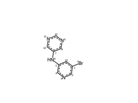 Brc1cncc(Nc2cncnc2)c1